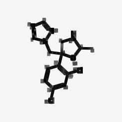 CC1NCC(Cn2cncn2)(c2ccc(Cl)cc2Cl)O1